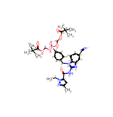 CCn1nc(C)cc1C(=O)Nc1nc2cc(C#N)ccc2n1Cc1ccc(P(=O)(OCOC(=O)C(C)(C)C)OCOC(=O)C(C)(C)C)cc1